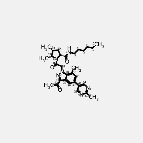 CCCCCCNC(=O)[C@@H]1C[C@H](C)[C@@H](C)N1C(=O)Cn1nc(C(C)=O)c2cc(-c3cnc(C)nc3)cc(C)c21